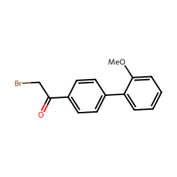 COc1ccccc1-c1ccc(C(=O)CBr)cc1